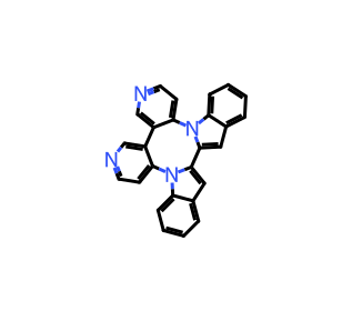 c1ccc2c(c1)cc1c3cc4ccccc4n3c3ccncc3c3cnccc3n21